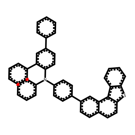 c1ccc(-c2ccc(N(c3ccccc3)c3ccc(-c4ccc5ccc6sc7ccccc7c6c5c4)cc3)c(-c3ccccc3)c2)cc1